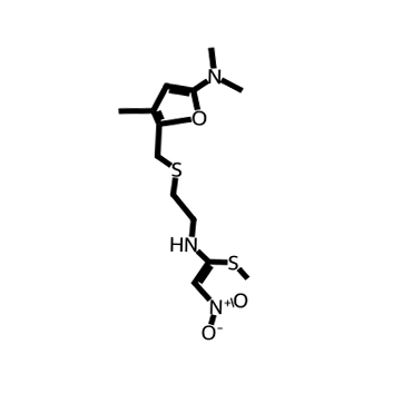 CSC(=C[N+](=O)[O-])NCCSCc1oc(N(C)C)cc1C